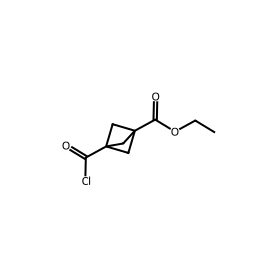 CCOC(=O)C12CC(C(=O)Cl)(C1)C2